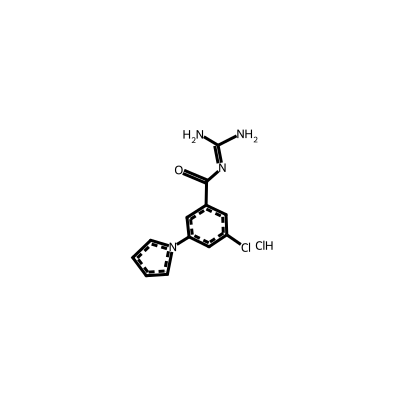 Cl.NC(N)=NC(=O)c1cc(Cl)cc(-n2cccc2)c1